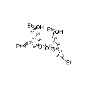 CCC#CCCC(CCCCC(O)CC)OCOCOC(CCC#CCC)CCCCC(O)CC